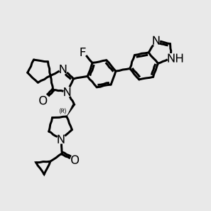 O=C(C1CC1)N1CC[C@@H](CN2C(=O)C3(CCCC3)N=C2c2ccc(-c3ccc4[nH]cnc4c3)cc2F)C1